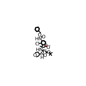 COC(=O)CC(C)(NC(=NC(=O)OC(C)(C)C)NC1CCOCC1)c1cccc(NC(=O)OCc2ccccc2)c1Cl